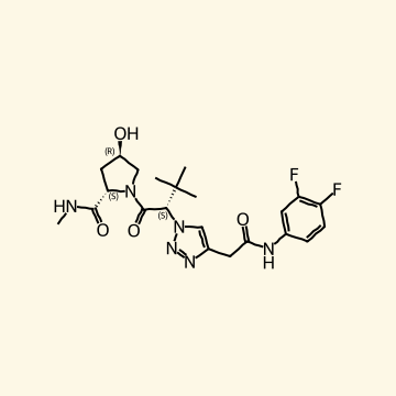 CNC(=O)[C@@H]1C[C@@H](O)CN1C(=O)[C@@H](n1cc(CC(=O)Nc2ccc(F)c(F)c2)nn1)C(C)(C)C